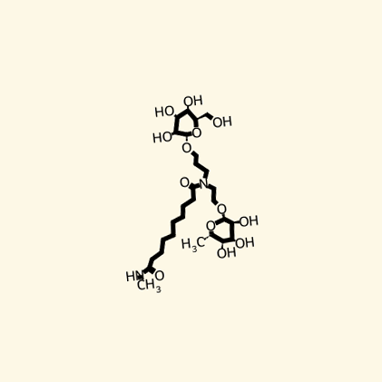 CNC(=O)CCCCCCCCC(=O)N(CCCO[C@H]1O[C@H](CO)[C@@H](O)[C@H](O)[C@@H]1O)CCO[C@@H]1O[C@@H](C)[C@@H](O)[C@@H](O)[C@@H]1O